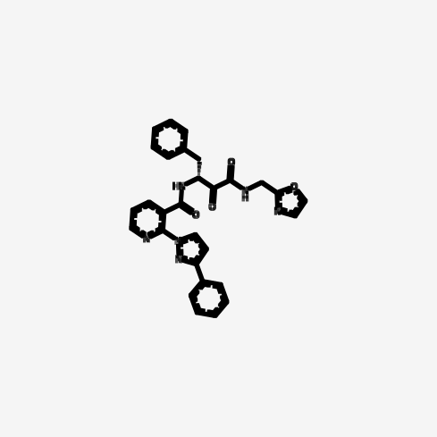 O=C(NCc1ncco1)C(=O)[C@@H](Cc1ccccc1)NC(=O)c1cccnc1-n1ccc(-c2ccccc2)n1